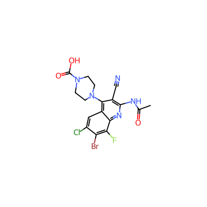 CC(=O)Nc1nc2c(F)c(Br)c(Cl)cc2c(N2CCN(C(=O)O)CC2)c1C#N